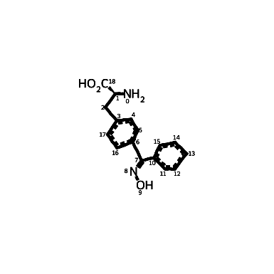 N[C@@H](Cc1ccc(/C(=N/O)c2ccccc2)cc1)C(=O)O